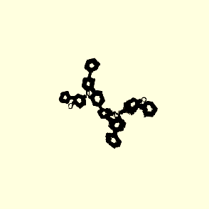 c1ccc(-c2ccc3c(c2)c2ccc(-c4ccc5c6cc(-c7ccccc7)ccc6n(-c6ccc7oc8ccccc8c7c6)c5c4)cc2n3-c2ccc3oc4ccccc4c3c2)cc1